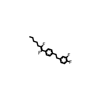 CCCCCC(F)=C(F)c1ccc(CCc2ccc(F)c(F)c2)cc1